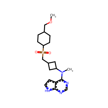 COCC1CCC(S(=O)(=O)CC2CC(N(C)c3ncnc4[nH]ccc34)C2)CC1